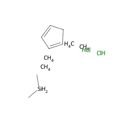 C.C.C.C.C1=CCC=C1.C[SiH2]C.Cl.Cl